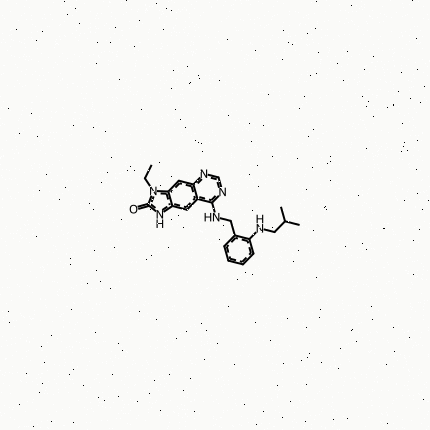 CCn1c(=O)[nH]c2cc3c(NCc4ccccc4NCC(C)C)ncnc3cc21